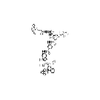 CC(C)[C@H](NCCNC(=O)CCCN1C(=O)C=CC1=O)C(=O)N[C@@H](CCCNC(N)=O)C(=O)Nc1ccc(C(=O)Nc2ccc3[nH]c(C(O)N4C[C@@H](CCl)c5c4cc(OP(=O)(O)O)c4ccccc54)cc3c2)cc1